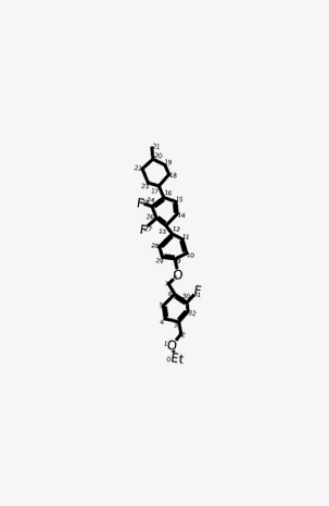 CCOCc1ccc(COc2ccc(-c3ccc(C4CCC(C)CC4)c(F)c3F)cc2)c(F)c1